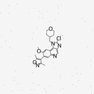 COc1cc2c(cc1-c1c(C)noc1C)ncc1nc(Cl)n(CC3CCOCC3)c12